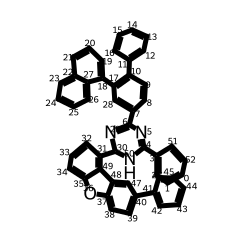 c1ccc(C2=NC(c3ccc(-c4ccccc4)c(-c4cccc5ccccc45)c3)=NC(c3cccc4oc5ccc(-c6ccccc6)cc5c34)N2)cc1